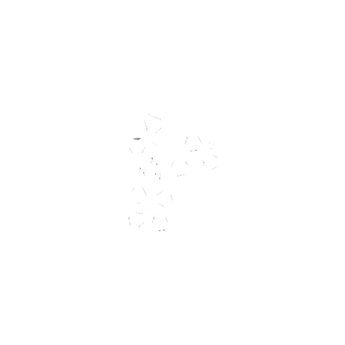 c1ccc(C2(c3ccccc3)c3ccccc3-c3c(-c4nc(-c5cccc(-c6cccc7sc8ccccc8c67)c5)nc(-c5cccc6c5sc5ccccc56)n4)cccc32)cc1